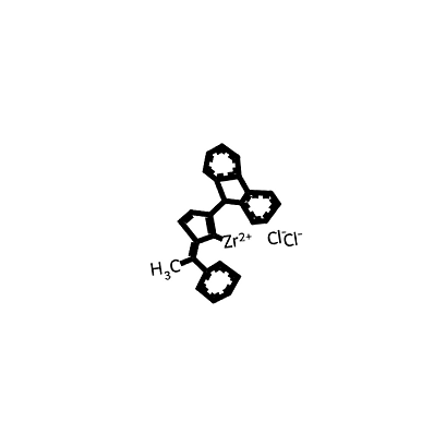 CC(=C1C=CC(C2c3ccccc3-c3ccccc32)=[C]1[Zr+2])c1ccccc1.[Cl-].[Cl-]